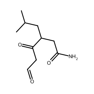 CC(C)CC(CC(N)=O)C(=O)CC=O